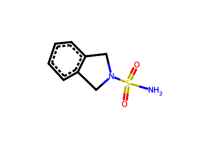 NS(=O)(=O)N1Cc2ccccc2C1